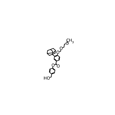 COCCOCOc1ccc(C(=O)Oc2ccc(CO)cc2)cc1C12CC3CC(CC(C3)C1)C2